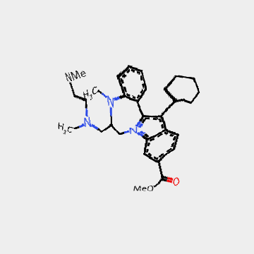 CNCCN(C)CC1Cn2c(c(C3CCCCC3)c3ccc(C(=O)OC)cc32)-c2ccccc2N1C